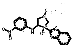 CN1CC(Nc2cccc([N+](=O)[O-])c2)[N+]([O-])(c2nc3ccccc3s2)C1